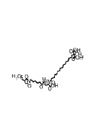 CSCC1CC(=O)N(CCCCCC(=O)NCC(NC(=O)CCCCCCCCCCCCCCCC(C)(C(=O)O)C(=O)O)C(=O)O)C1=O